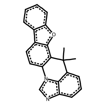 CC1(C)c2c(ccc3c2oc2ccccc23)-n2cnc3cccc1c32